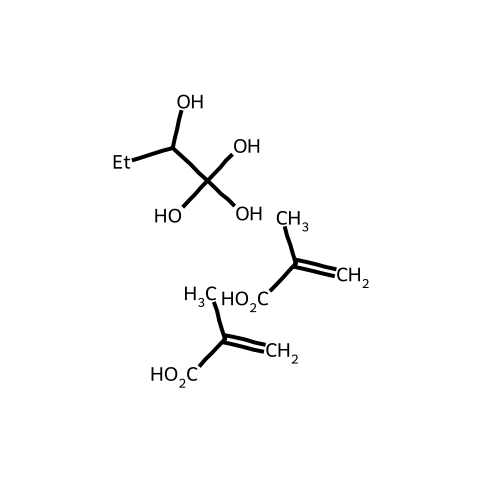 C=C(C)C(=O)O.C=C(C)C(=O)O.CCC(O)C(O)(O)O